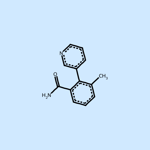 Cc1cccc(C(N)=O)c1-c1cccnc1